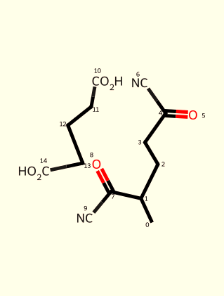 CC(CCC(=O)C#N)C(=O)C#N.O=C(O)CCCC(=O)O